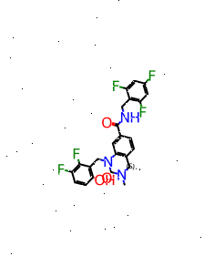 C[C@H]1c2ccc(C(=O)NCc3c(F)cc(F)cc3F)cc2N(Cc2c(O)ccc(F)c2F)C(=O)N1C